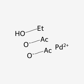 CC(=O)[O-].CC(=O)[O-].CCO.[Pd+2]